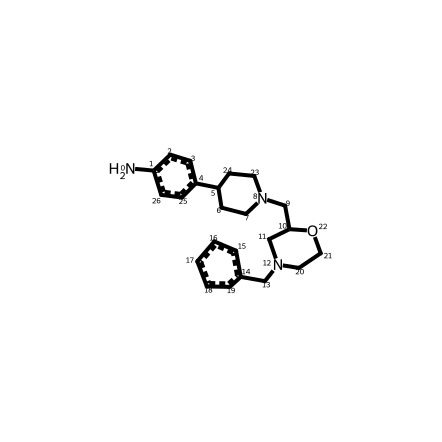 Nc1ccc(C2CCN(CC3CN(Cc4ccccc4)CCO3)CC2)cc1